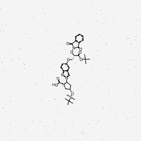 CC(C)(C)OC(=O)[C@H](COc1ccc2nn(C3CC(O[Si](C)(C)C(C)(C)C)CN3C(=O)O)cc2c1)ON1C(=O)c2ccccc2C1=O